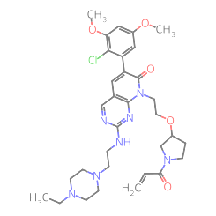 C=CC(=O)N1CCC(OCCn2c(=O)c(-c3cc(OC)cc(OC)c3Cl)cc3cnc(NCCN4CCN(CC)CC4)nc32)C1